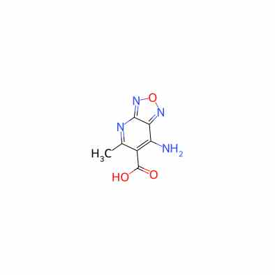 Cc1nc2nonc2c(N)c1C(=O)O